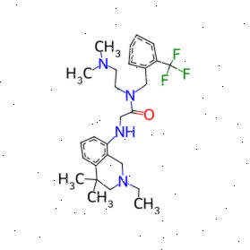 CCN1Cc2c(NCC(=O)N(CCN(C)C)Cc3ccccc3C(F)(F)F)cccc2C(C)(C)C1